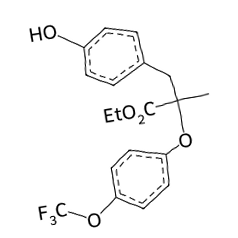 CCOC(=O)C(C)(Cc1ccc(O)cc1)Oc1ccc(OC(F)(F)F)cc1